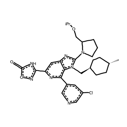 CC(C)OCC1CCCN1c1nc2cc(-c3noc(=O)[nH]3)nc(-c3cncc(Cl)c3)c2n1C[C@H]1CC[C@H](C)CC1